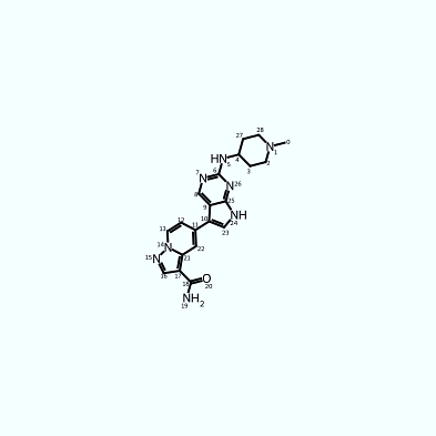 CN1CCC(Nc2ncc3c(-c4ccn5ncc(C(N)=O)c5c4)c[nH]c3n2)CC1